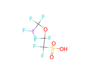 O=S(=O)(O)C(F)(F)C(F)(F)OC(F)(F)I(F)F